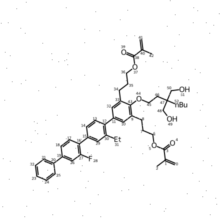 C=C(C)C(=O)OCCCc1cc(-c2ccc(-c3ccc(-c4ccccc4)cc3F)cc2CC)cc(CCCOC(=O)C(=C)C)c1OCCC(CO)(CO)CCCC